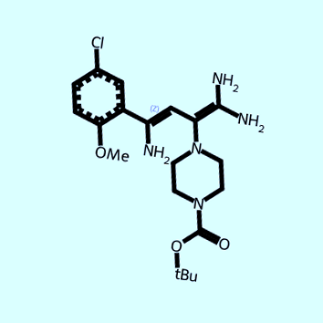 COc1ccc(Cl)cc1/C(N)=C/C(=C(N)N)N1CCN(C(=O)OC(C)(C)C)CC1